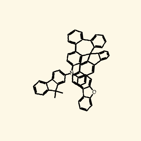 CC1(C)c2ccccc2-c2ccc(N(c3ccc4c(c3)C3(c5ccccc5-c5ccccc5-4)c4ccccc4-c4cc5ccccc5cc43)c3ccc4oc5ccccc5c4c3)cc21